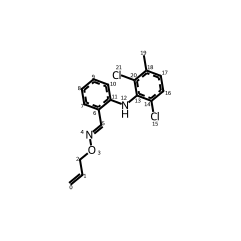 C=CCON=Cc1ccccc1Nc1c(Cl)ccc(C)c1Cl